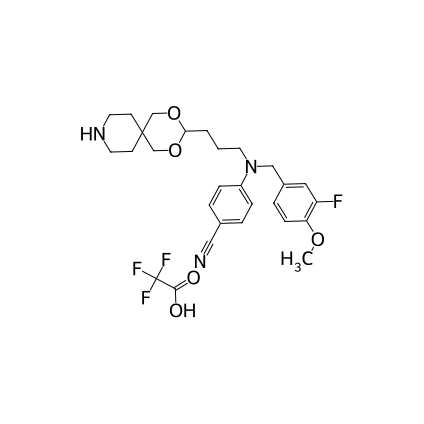 COc1ccc(CN(CCCC2OCC3(CCNCC3)CO2)c2ccc(C#N)cc2)cc1F.O=C(O)C(F)(F)F